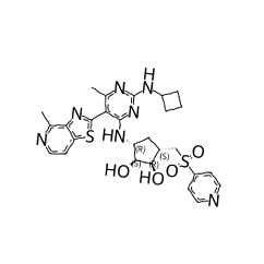 Cc1nc(NC2CCC2)nc(N[C@@H]2C[C@H](CS(=O)(=O)c3ccncc3)[C@@H](O)[C@H]2O)c1-c1nc2c(C)nccc2s1